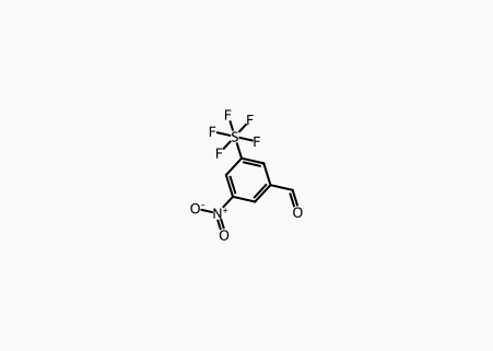 O=Cc1cc([N+](=O)[O-])cc(S(F)(F)(F)(F)F)c1